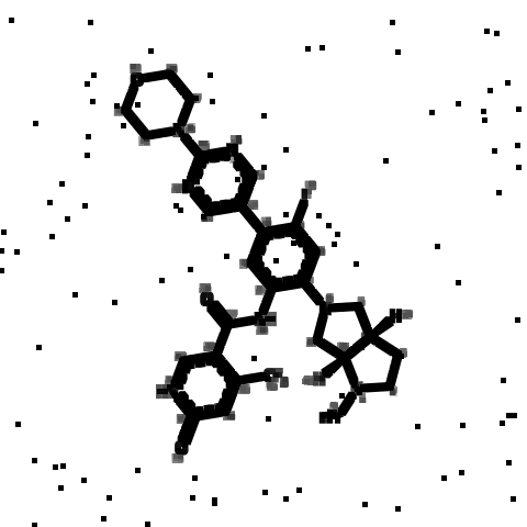 CCCN1CC[C@H]2CN(c3cc(F)c(-c4cnc(N5CCOCC5)nc4)cc3NC(=O)c3c[nH]c(=O)cc3C(F)(F)F)C[C@H]21